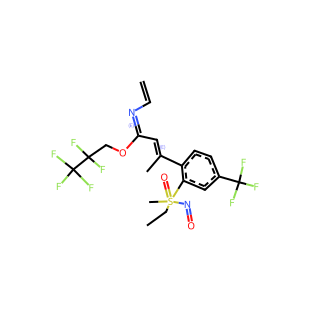 C=C/N=C(\C=C(/C)c1ccc(C(F)(F)F)cc1S(C)(=O)(CC)N=O)OCC(F)(F)C(F)(F)F